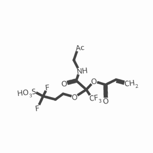 C=CC(=O)OC(OCCC(F)(F)S(=O)(=O)O)(C(=O)NCC(C)=O)C(F)(F)F